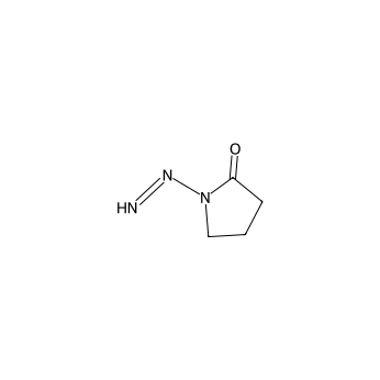 N=NN1CCCC1=O